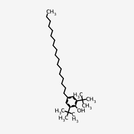 CCCCCCCCCCCCCCCCCCc1cc(C(C)(C)C)c(O)c(C(C)(C)C)c1